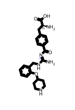 N/C(=N\C(=O)c1ccc(C[C@H](N)C(=O)O)cc1)NCc1ccccc1OC1CCNCC1